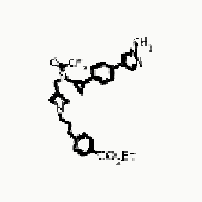 CCOC(=O)c1ccc(CCCN2CC(CN(C(=O)C(F)(F)F)C3CC3c3ccc(-c4cnn(C)c4)cc3)C2)cc1